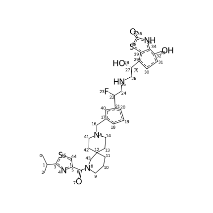 CC(C)c1nc(C(=O)N2CCCC3(CCN(Cc4cccc(C(F)CNC[C@H](O)c5ccc(O)c6[nH]c(=O)sc56)c4)CC3)C2)cs1